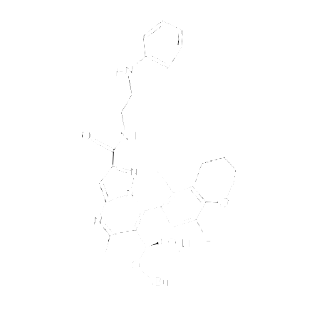 Cc1nc2cc(C(=O)NCCNc3ccccc3)nn2c(-c2cc(F)c3c(c2C)CCCO3)c1[C@H](OC(C)(C)C)C(=O)O